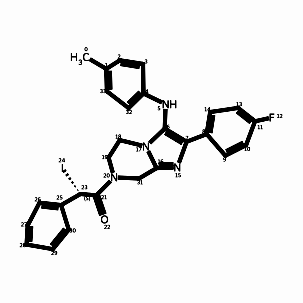 Cc1ccc(Nc2c(-c3ccc(F)cc3)nc3n2CCN(C(=O)[C@@H](I)c2ccccc2)C3)cc1